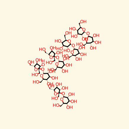 OC[C@H]1O[C@@](CO)(O[C@H]2O[C@H](CO)[C@@H](O)[C@H](O)[C@H]2O)[C@@H](O)[C@@H]1O.OC[C@H]1O[C@@](CO)(O[C@H]2O[C@H](CO)[C@@H](O)[C@H](O)[C@H]2O)[C@@H](O)[C@@H]1O.OC[C@H]1O[C@@](CO)(O[C@H]2O[C@H](CO)[C@@H](O)[C@H](O)[C@H]2O)[C@@H](O)[C@@H]1O.OC[C@H]1O[C@H](O[C@H]2O[C@H](CO)[C@@H](O)[C@H](O)[C@H]2O)[C@H](O)[C@@H](O)[C@@H]1O.OC[C@H]1O[C@H](O[C@H]2O[C@H](CO)[C@@H](O)[C@H](O)[C@H]2O)[C@H](O)[C@@H](O)[C@@H]1O